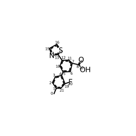 Cc1ccc(-c2cc(C(=O)O)cc(-c3nccs3)c2)c(F)c1